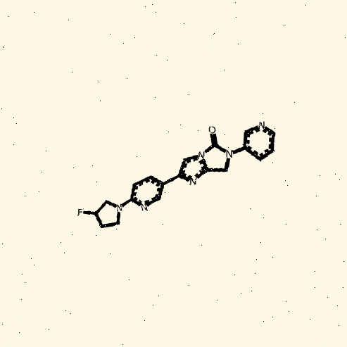 O=C1N(c2cccnc2)Cc2nc(-c3ccc(N4CCC(F)C4)nc3)cn21